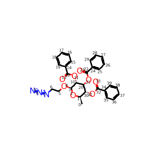 C[C@H]1O[C@@H](OCCN=[N+]=[N-])[C@H](OC(=O)c2ccccc2)[C@@H](OC(=O)c2ccccc2)[C@@H]1OC(=O)c1ccccc1